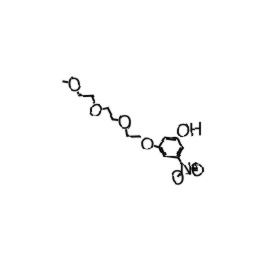 COCCOCCOCCOc1cc(O)cc([N+](=O)[O-])c1